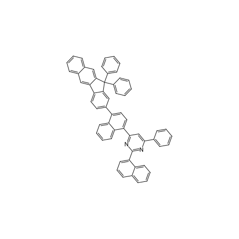 c1ccc(-c2cc(-c3ccc(-c4ccc5c(c4)C(c4ccccc4)(c4ccccc4)c4cc6ccccc6cc4-5)c4ccccc34)nc(-c3cccc4ccccc34)n2)cc1